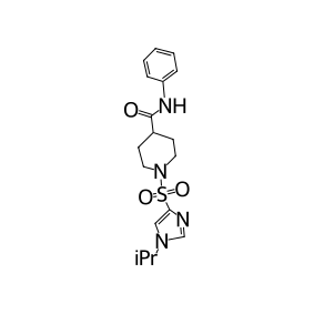 CC(C)n1cnc(S(=O)(=O)N2CCC(C(=O)Nc3ccccc3)CC2)c1